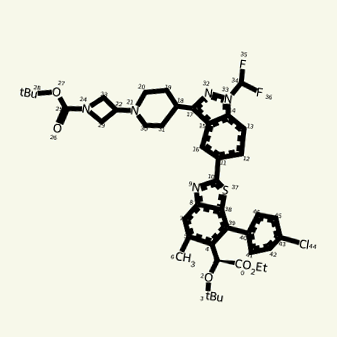 CCOC(=O)[C@@H](OC(C)(C)C)c1c(C)cc2nc(-c3ccc4c(c3)c(C3CCN(C5CN(C(=O)OC(C)(C)C)C5)CC3)nn4C(F)F)sc2c1-c1ccc(Cl)cc1